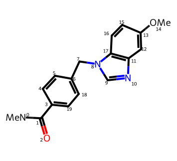 CNC(=O)c1ccc(Cn2cnc3cc(OC)ccc32)cc1